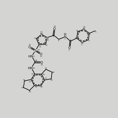 Cc1cnc(C(=O)NCC(=O)n2cc(S(=O)(=O)NC(=O)Nc3c4c(cc5c3CCC5)CCC4)cn2)cn1